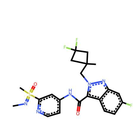 CN=S(C)(=O)c1cc(NC(=O)c2c3ccc(F)cc3nn2CC2(C)CC(F)(F)C2)ccn1